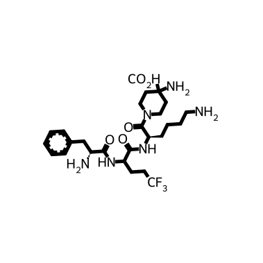 NCCCC[C@@H](NC(=O)C(CCC(F)(F)F)NC(=O)[C@H](N)Cc1ccccc1)C(=O)N1CCC(N)(C(=O)O)CC1